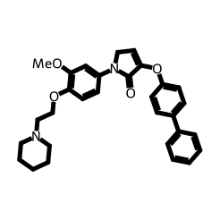 COc1cc(N2CC=C(Oc3ccc(-c4ccccc4)cc3)C2=O)ccc1OCCN1CCCCC1